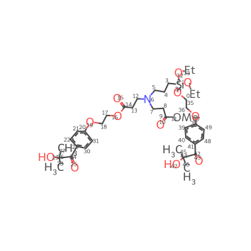 CCO[Si](CCCN(CCC(=O)OC)CCC(=O)OCCOc1ccc(C(=O)C(C)(C)O)cc1)(OCC)OCCOc1ccc(C(=O)C(C)(C)O)cc1